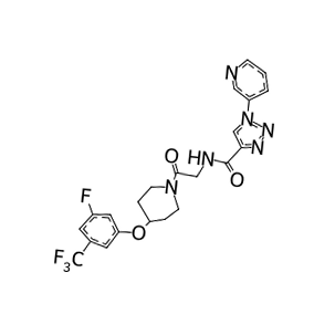 O=C(NCC(=O)N1CCC(Oc2cc(F)cc(C(F)(F)F)c2)CC1)c1cn(-c2cccnc2)nn1